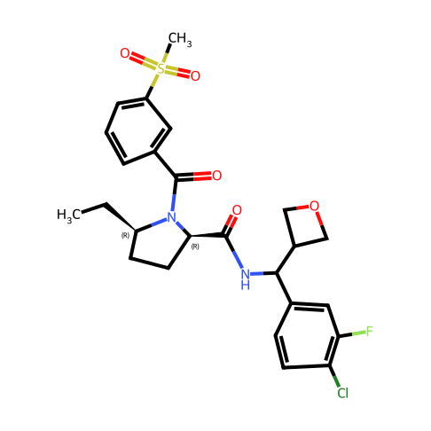 CC[C@@H]1CC[C@H](C(=O)NC(c2ccc(Cl)c(F)c2)C2COC2)N1C(=O)c1cccc(S(C)(=O)=O)c1